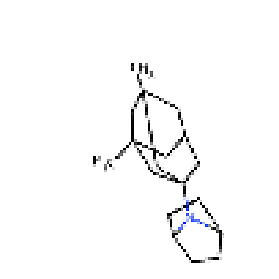 CC12CC3CC(C)(C1)CC(N1C4CCC1CC4)(C3)C2